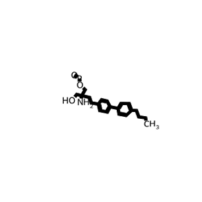 CCCCc1ccc(-c2ccc(CCC(N)(CO)COP=O)cc2)cc1